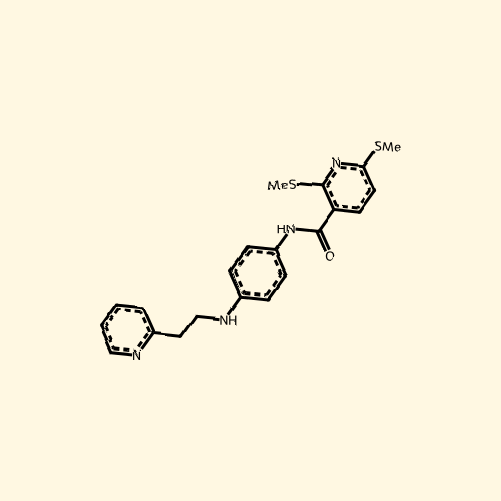 CSc1ccc(C(=O)Nc2ccc(NCCc3ccccn3)cc2)c(SC)n1